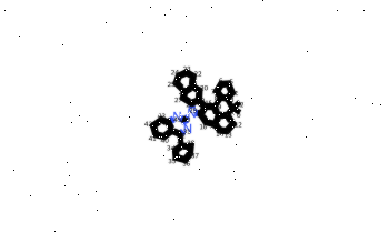 CC1(C)c2ccccc2-c2c3c1cccc3cc1c2c2cc3ccccc3cc2n1-c1nc(-c2ccccc2)c2ccccc2n1